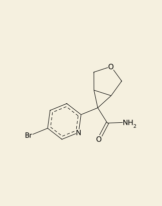 NC(=O)C1(c2ccc(Br)cn2)C2COCC21